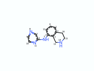 c1cc2c(c(Nc3cnccn3)c1)CNCC2